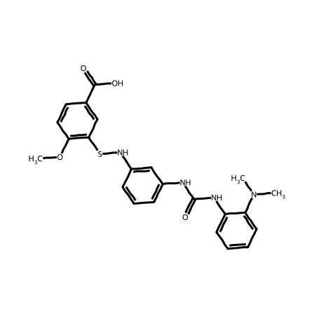 COc1ccc(C(=O)O)cc1SNc1cccc(NC(=O)Nc2ccccc2N(C)C)c1